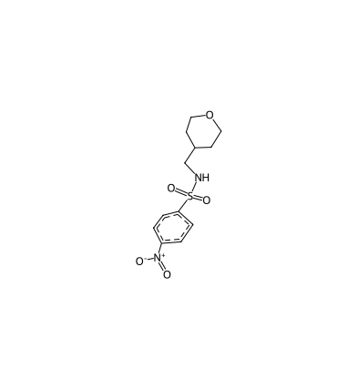 O=[N+]([O-])c1ccc(S(=O)(=O)NCC2CCOCC2)cc1